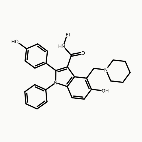 CCNC(=O)c1c(-c2ccc(O)cc2)n(-c2ccccc2)c2ccc(O)c(CN3CCCCC3)c12